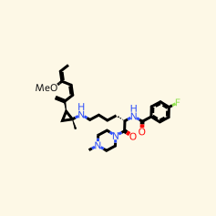 C=C(/C=C\C(=C/C)OC)[C@@H]1C[C@@]1(C)NCCCC[C@H](NC(=O)c1ccc(F)cc1)C(=O)N1CCN(C)CC1